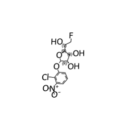 O=[N+]([O-])c1cccc(OC2O[C@@H]([C@H](O)CF)[C@H](O)[C@H]2O)c1Cl